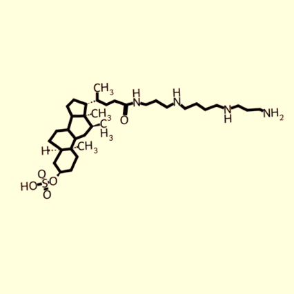 CC(CCC(=O)NCCCNCCCCNCCCN)[C@H]1CCC2C3CC[C@@H]4C[C@H](OS(=O)(=O)O)CC[C@]4(C)C3C[C@H](C)[C@@]21C